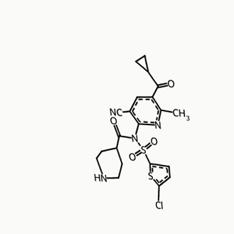 Cc1nc(N(C(=O)C2CCNCC2)S(=O)(=O)c2ccc(Cl)s2)c(C#N)cc1C(=O)C1CC1